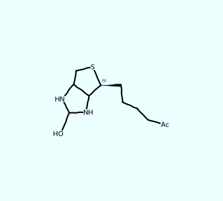 CC(=O)CCCC[C@@H]1SCC2NC(O)NC21